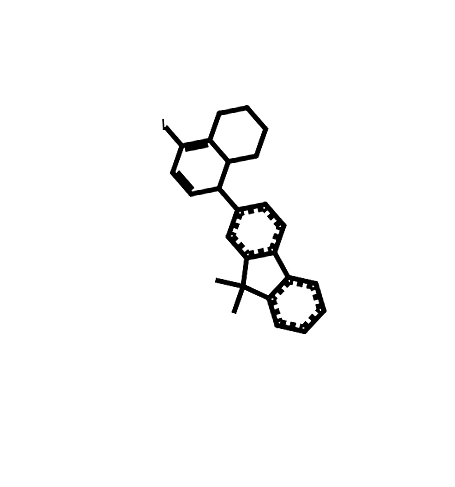 CC1(C)c2ccccc2-c2ccc(C3C=CC(I)=C4CCCCC43)cc21